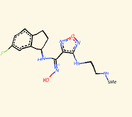 CSNCCNc1nonc1/C(=N/O)NC1CCc2ccc(F)cc21